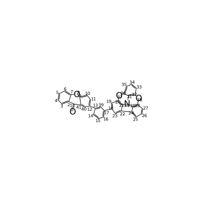 O=c1c2ccccc2oc2ccc(-c3cccc(-c4cc5c6c(c4)c4cccc7c4n6-c4c(cccc4O5)O7)c3)cc12